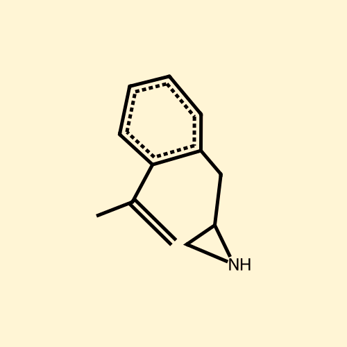 C=C(C)c1ccccc1CC1CN1